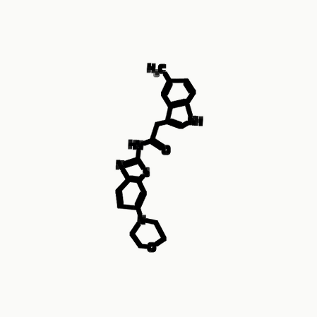 Cc1ccc2[nH]cc(CC(=O)Nc3nc4ccc(N5CCOCC5)cc4s3)c2c1